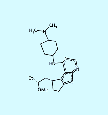 CC[C@H](C[C@H]1CCc2sc3ncnc(NC4CCC(N(C)C)CC4)c3c21)OC